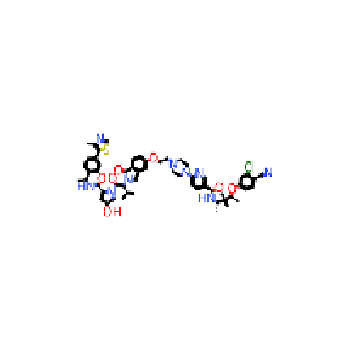 Cc1ncsc1-c1ccc([C@H](C)NC(=O)[C@@H]2CC(O)CN2C(=O)[C@H](C(C)C)N2Cc3cc(OCCN4CCN(c5ccc(C(=O)N[C@@H](C)C(C)(C)[C@H](C)Oc6ccc(C#N)c(Cl)c6)cn5)CC4)ccc3C2=O)cc1